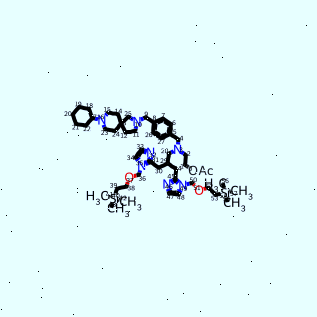 CC(=O)OCCN(Cc1ccc(CN2CCC3(CCN(C4CCCCC4)CC3)C2)cc1)CC(Cc1nccn1COCC[Si](C)(C)C)Cc1nccn1COCC[Si](C)(C)C